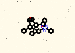 C1=CC(c2cc(-c3ccccc3)cc(C3(c4cc(-c5ccccc5)cc(-c5ccccc5)c4)c4ccccc4-c4ccc(-c5nc(-c6ccccc6)nc(-c6ccccc6)n5)cc43)c2)=CCC1